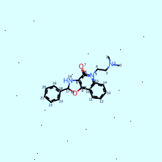 CN(C)CCn1c(=O)c2c(c3ccccc31)OC(c1ccccc1)N2